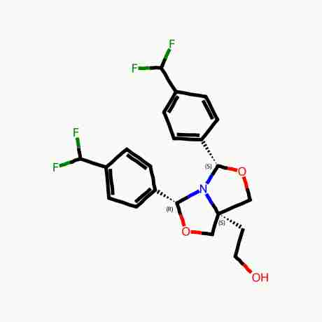 OCC[C@]12CO[C@H](c3ccc(C(F)F)cc3)N1[C@H](c1ccc(C(F)F)cc1)OC2